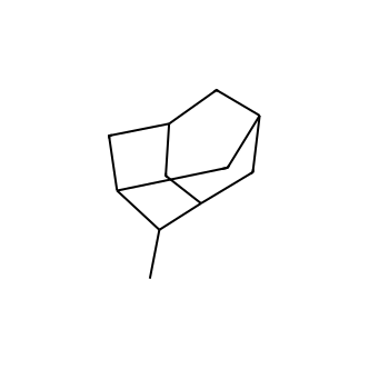 CC1C2CC3CC(C2)CC1C3